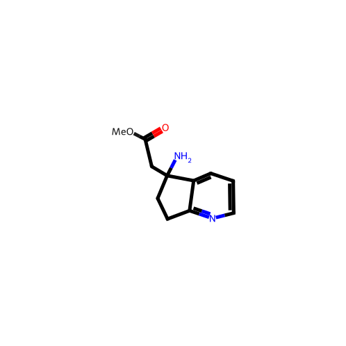 COC(=O)CC1(N)CCc2ncccc21